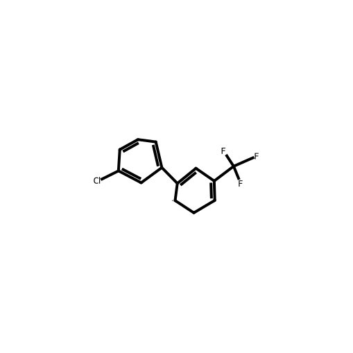 FC(F)(F)C1=CC[CH]C(c2cccc(Cl)c2)=C1